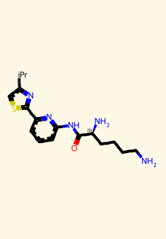 CC(C)c1csc(-c2cccc(NC(=O)[C@@H](N)CCCCN)n2)n1